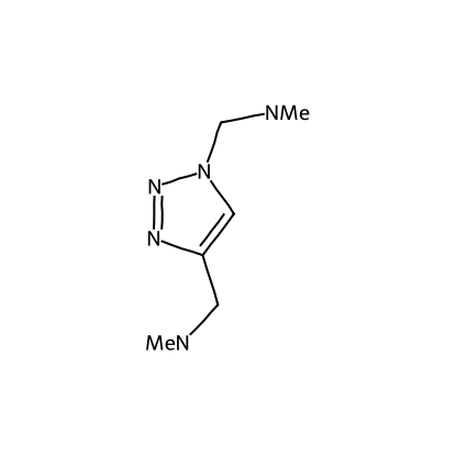 CNCc1cn(CNC)nn1